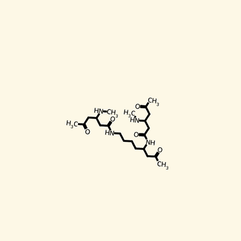 CNC(CC(C)=O)CC(=O)NCCCCC(CC(C)=O)NC(=O)CC(CC(C)=O)NC